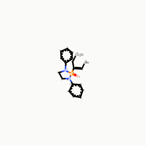 CCOC(=O)C/C(=C\C(C)(C)C)P1(=O)N(c2ccccc2)CCN1c1ccccc1